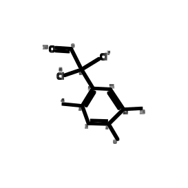 Cc1cc(C)c(C(Cl)(Cl)C=O)cc1C